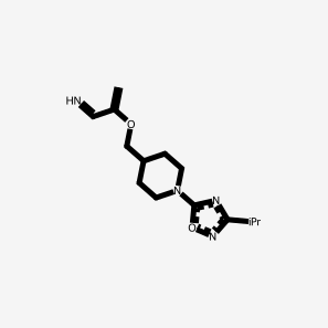 C=C(C=N)OCC1CCN(c2nc(C(C)C)no2)CC1